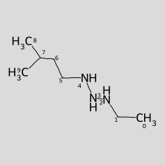 CCNNNCCC(C)C